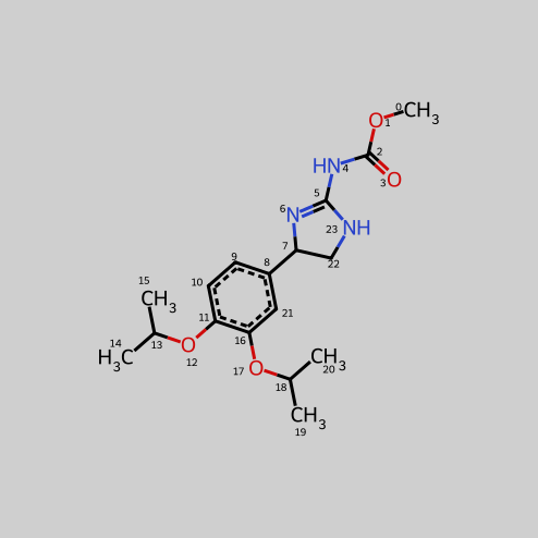 COC(=O)NC1=NC(c2ccc(OC(C)C)c(OC(C)C)c2)CN1